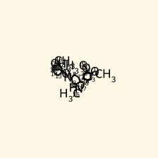 COc1ccc([C@@]23CC/C(=N\OC45CCC(CC(C)C4)C(C)C5)C[C@@H]2N(C)CC3)cc1OC